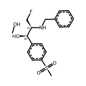 CO.CS(=O)(=O)c1ccc([C@@H](O)[C@@H](CF)NCc2ccccc2)cc1